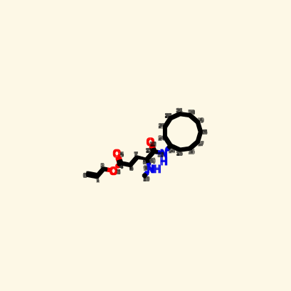 C=CCOC(=O)CC[C@H](NC)C(=O)NC1CCCCCCCCCC1